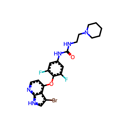 O=C(NCCN1CCCCC1)Nc1cc(F)c(Oc2ccnc3[nH]cc(Br)c23)c(F)c1